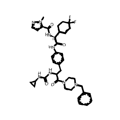 Cn1nccc1C(=O)N[C@H](C(=O)Nc1ccc(CC(NC(=O)NC2CC2)C(=O)N2CCN(Cc3ccccc3)CC2)cc1)C1CCC(F)(F)CC1